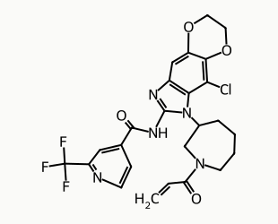 C=CC(=O)N1CCCCC(n2c(NC(=O)c3ccnc(C(F)(F)F)c3)nc3cc4c(c(Cl)c32)OCCO4)C1